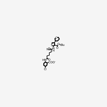 CC(C)(C)OC(=O)c1c(-c2ccccc2)csc1NC(=O)CCCCC(=O)Nc1ccc(Cl)cc1C(=O)[O-].[Na+]